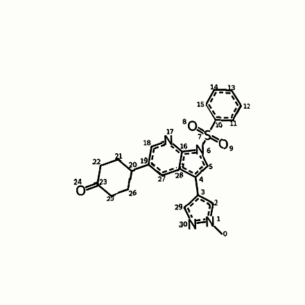 Cn1cc(-c2cn(S(=O)(=O)c3ccccc3)c3ncc(C4CCC(=O)CC4)cc23)cn1